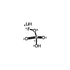 O=S(=O)(O)OF.[LiH]